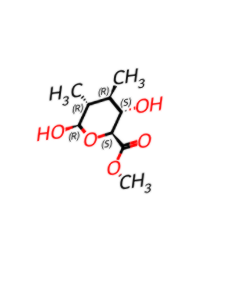 COC(=O)[C@H]1O[C@@H](O)[C@H](C)[C@@H](C)[C@@H]1O